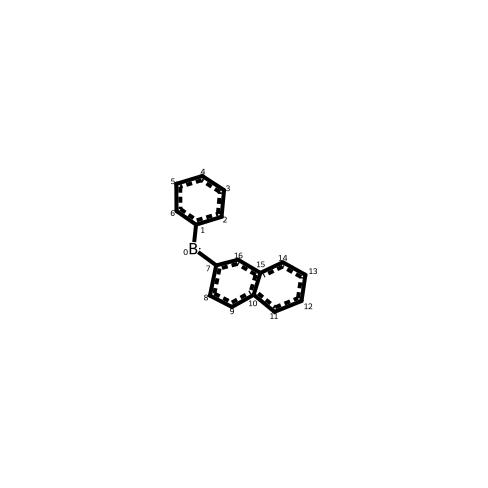 [B](c1ccccc1)c1ccc2ccccc2c1